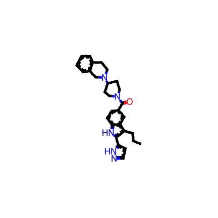 CCCc1c(-c2ccn[nH]2)[nH]c2ccc(C(=O)N3CCC(N4CCc5ccccc5C4)CC3)cc12